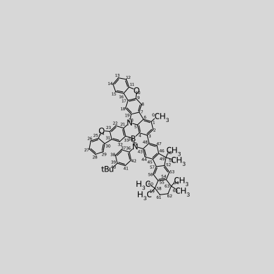 Cc1cc2c3c4c1c1cc5oc6ccccc6c5cc1n4-c1cc4oc5ccccc5c4cc1B3N(c1ccc(C(C)(C)C)cc1)c1cc3c(cc1-2)C(C)(C)c1cc2c(cc1-3)C(C)(C)CCC2(C)C